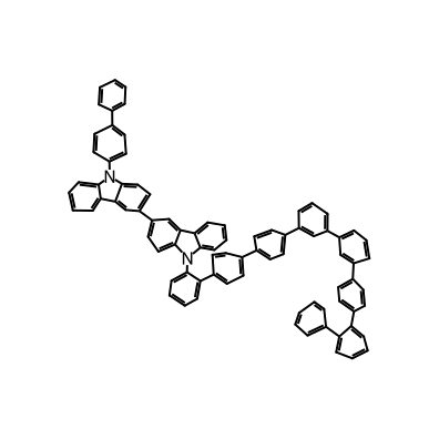 c1ccc(-c2ccc(-n3c4ccccc4c4cc(-c5ccc6c(c5)c5ccccc5n6-c5ccccc5-c5ccc(-c6ccc(-c7cccc(-c8cccc(-c9ccc(-c%10ccccc%10-c%10ccccc%10)cc9)c8)c7)cc6)cc5)ccc43)cc2)cc1